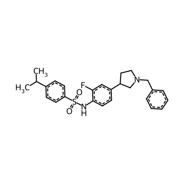 CC(C)c1ccc(S(=O)(=O)Nc2ccc(C3CCN(Cc4ccccc4)C3)cc2F)cc1